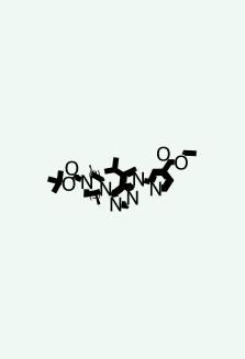 CCOC(=O)c1ccnc(-n2cc(C(C)C)c3c(N4C[C@@H](C)N(C(=O)OC(C)(C)C)C[C@@H]4C)ncnc32)c1